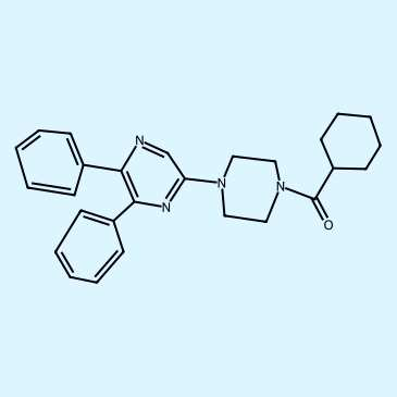 O=C(C1CCCCC1)N1CCN(c2cnc(-c3ccccc3)c(-c3ccccc3)n2)CC1